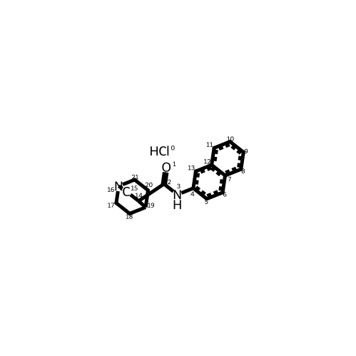 Cl.O=C(Nc1ccc2ccccc2c1)C1CN2CCC1CC2